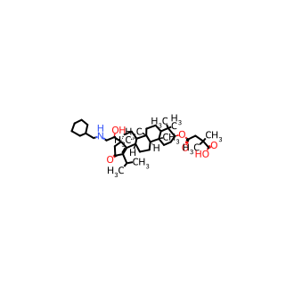 CC(C)C1=C2[C@H]3CC[C@@H]4[C@@]5(C)CC[C@H](OC(=O)CC(C)(C)C(=O)O)C(C)(C)C5CC[C@@]4(C)[C@]3(C)CC[C@@]2([C@H](O)CNCC2CCCCC2)CC1=O